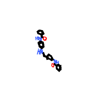 O=C(Nc1ccc(CCNc2ccc(NC(=O)c3ccccc3)cc2)cc1)c1ccccc1